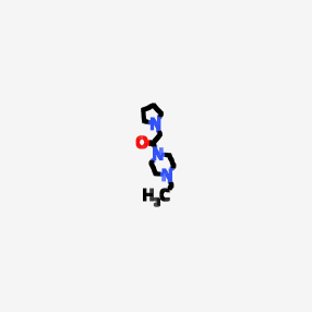 CCN1CCN(C(=O)CN2CCCC2)CC1